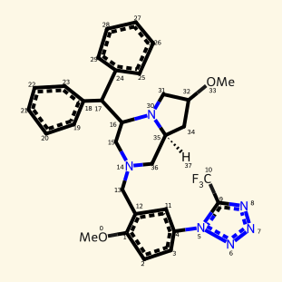 COc1ccc(-n2nnnc2C(F)(F)F)cc1CN1CC(C(c2ccccc2)c2ccccc2)N2CC(OC)C[C@H]2C1